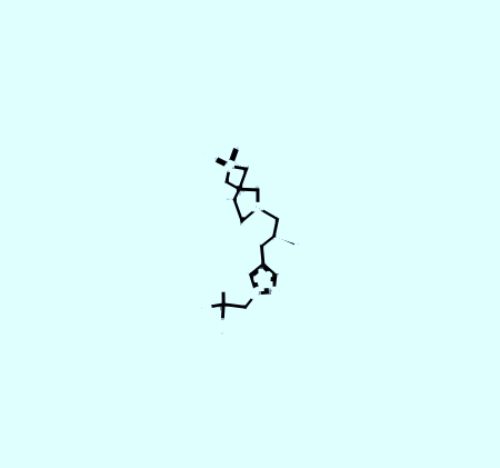 C[C@@H](Cc1cnn(CC(F)(F)F)c1)CN1CCC2(C1)CS(=O)(=O)C2